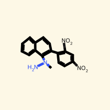 CN(N)c1c(-c2ccc([N+](=O)[O-])cc2[N+](=O)[O-])ccc2ccccc12